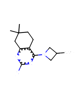 CNC1CN(c2nc(N)nc3c2CCC(C)(C)C3)C1